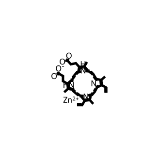 C=CC1=C(C)c2cc3[nH]c(cc4[nH]c(cc5nc(cc1n2)C(C)=C5C=C)c(C)c4CCC(=O)[O-])c(CCC(=O)[O-])c3C.[Zn+2]